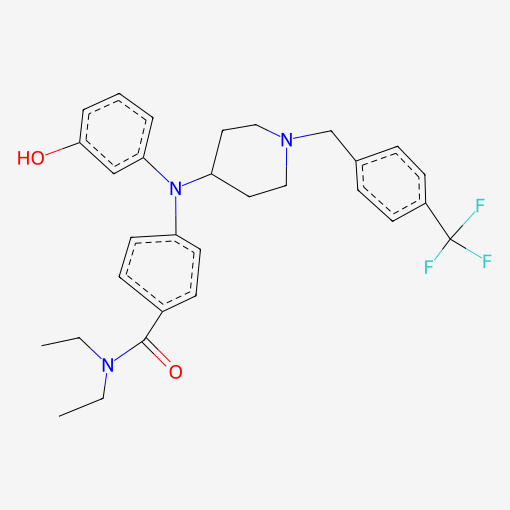 CCN(CC)C(=O)c1ccc(N(c2cccc(O)c2)C2CCN(Cc3ccc(C(F)(F)F)cc3)CC2)cc1